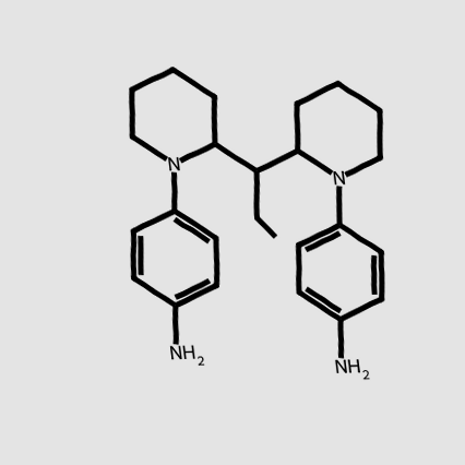 CCC(C1CCCCN1c1ccc(N)cc1)C1CCCCN1c1ccc(N)cc1